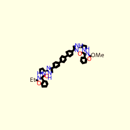 CCC(=O)N[C@@H](C(=O)N1CCC[C@H]1c1nc(-c2ccc(-c3ccc(-c4ccc(-c5c[nH]c([C@@H]6CCCN6C(=O)[C@H](NC(=O)OC)c6ccccc6)n5)cc4)cc3)cc2)c[nH]1)c1ccccc1